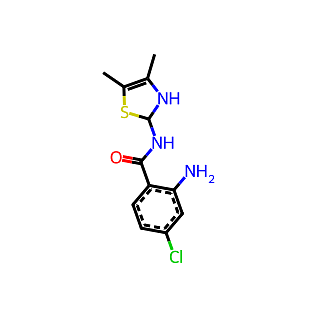 CC1=C(C)SC(NC(=O)c2ccc(Cl)cc2N)N1